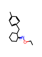 CCO/N=C1\CCCCC1Cc1ccc(C)cc1